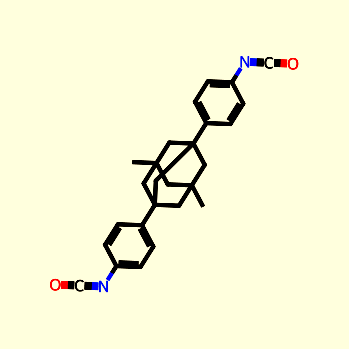 CC12CC3(C)CC(c4ccc(N=C=O)cc4)(C1)CC(c1ccc(N=C=O)cc1)(C2)C3